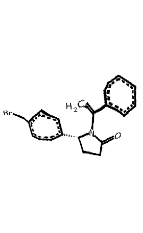 C=C(c1ccccc1)N1C(=O)CC[C@@H]1c1ccc(Br)cc1